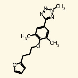 Cc1cc(-c2nnn(C)n2)cc(C)c1OCCCc1ccco1